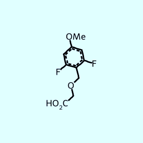 COc1cc(F)c(COCC(=O)O)c(F)c1